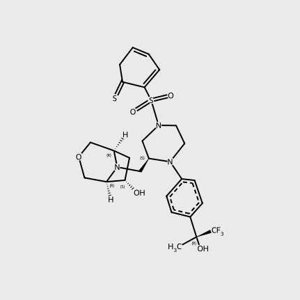 C[C@@](O)(c1ccc(N2CCN(S(=O)(=O)C3=CC=CCC3=S)C[C@@H]2CN2[C@H]3COC[C@@H]2[C@@H](O)C3)cc1)C(F)(F)F